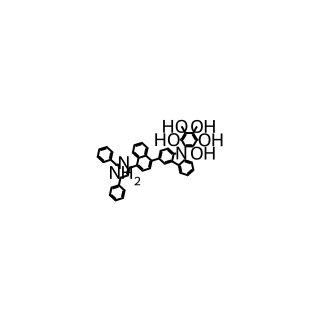 N/C(=N\C(=C/Cc1ccccc1)c1ccc(-c2ccc3c(c2)c2ccccc2n3-c2c(O)c(O)c(O)c(O)c2O)c2ccccc12)c1ccccc1